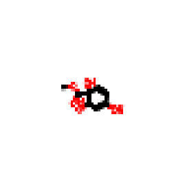 COC(=O)C1(O)C=CC(O)=CC1O